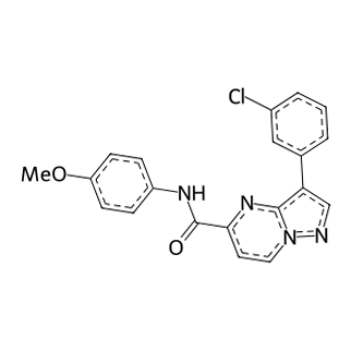 COc1ccc(NC(=O)c2ccn3ncc(-c4cccc(Cl)c4)c3n2)cc1